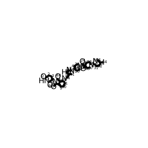 O=C1CCC(N2C(=O)c3cccc(NCc4cnn(C5CCN(C(=O)C6(O)CCN(c7ccc(I)cn7)CC6)CC5)c4)c3C2=O)C(=O)N1